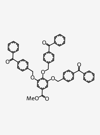 COC(=O)c1cc(OCc2ccc(C(=O)c3ccccc3)cc2)c(OCc2ccc(C(=O)c3ccccc3)cc2)c(OCc2ccc(C(=O)c3ccccc3)cc2)c1